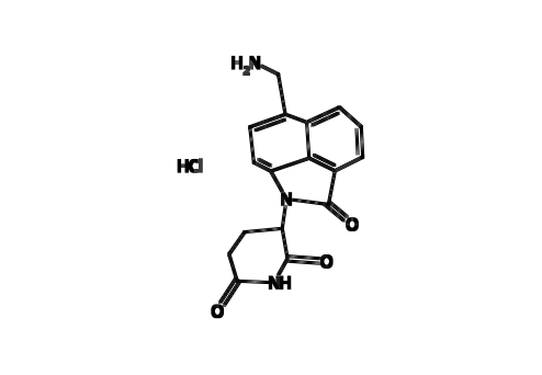 Cl.NCc1ccc2c3c(cccc13)C(=O)N2C1CCC(=O)NC1=O